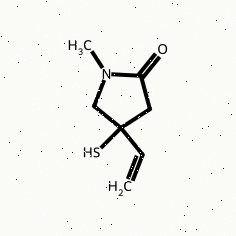 C=CC1(S)CC(=O)N(C)C1